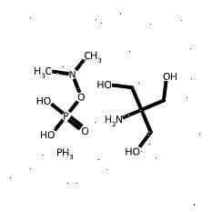 CN(C)OP(=O)(O)O.NC(CO)(CO)CO.P